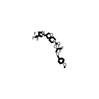 COc1ccc(COCC(OC(=O)N2CCC3(CC2)CC(n2cc(C(F)(F)F)cn2)CO3)C(F)(F)F)cc1